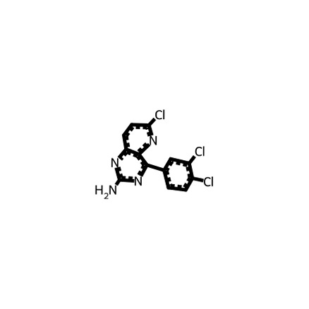 Nc1nc(-c2ccc(Cl)c(Cl)c2)c2nc(Cl)ccc2n1